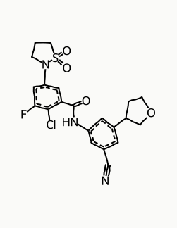 N#Cc1cc(NC(=O)c2cc(N3CCCS3(=O)=O)cc(F)c2Cl)cc(C2CCOC2)c1